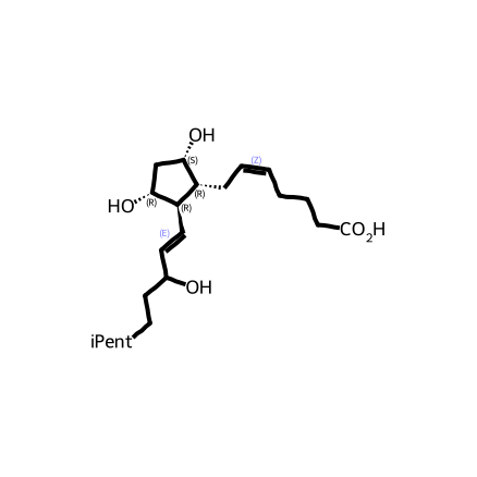 CCCC(C)CCC(O)/C=C/[C@@H]1[C@@H](C/C=C\CCCC(=O)O)[C@@H](O)C[C@H]1O